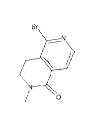 CN1CCc2c(ccnc2Br)C1=O